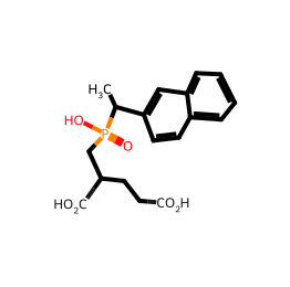 CC(c1ccc2ccccc2c1)P(=O)(O)CC(CCC(=O)O)C(=O)O